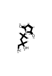 CC(=O)CC(C)(O)CC(C)(C)N1C(=O)C=CC1=O